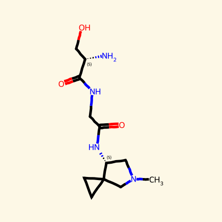 CN1C[C@@H](NC(=O)CNC(=O)[C@@H](N)CO)C2(CC2)C1